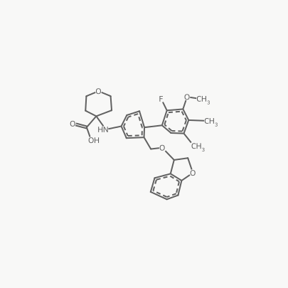 COc1c(C)c(C)cc(-c2ccc(NC3(C(=O)O)CCOCC3)cc2COC2COc3ccccc32)c1F